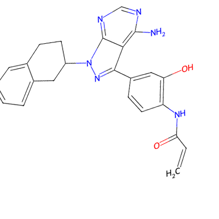 C=CC(=O)Nc1ccc(-c2nn(C3CCc4ccccc4C3)c3ncnc(N)c23)cc1O